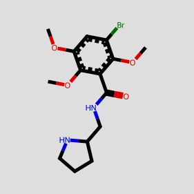 COc1cc(Br)c(OC)c(C(=O)NCC2CCCN2)c1OC